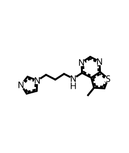 Cc1csc2ncnc(NCCCn3ccnc3)c12